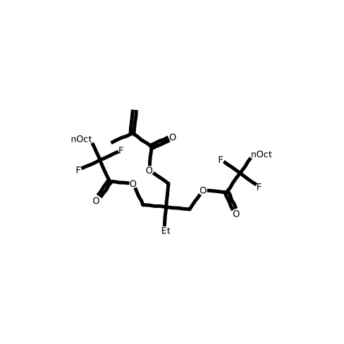 C=C(C)C(=O)OCC(CC)(COC(=O)C(F)(F)CCCCCCCC)COC(=O)C(F)(F)CCCCCCCC